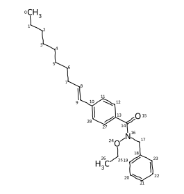 CCCCCCCCC=Cc1ccc(C(=O)N(Cc2ccccc2)OCC)cc1